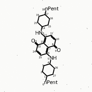 CCCCCC1CCC(NC2=C3C(=O)C=CC(NC4CCC(CCCCC)CC4)=C3C(=O)C=C2)CC1